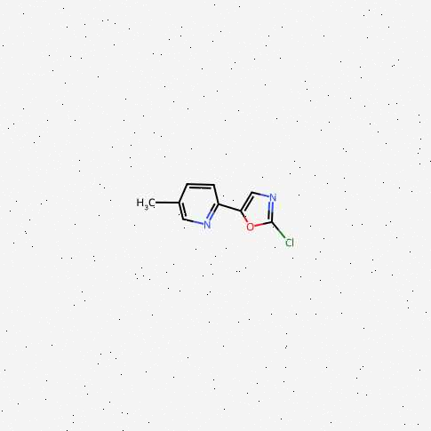 Cc1ccc(-c2cnc(Cl)o2)nc1